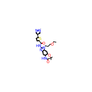 CCOCCCn1c(NC(=O)c2ccc(-c3cnn(C)c3)s2)nc2cc3c(cc21)OC(C)(C)C(=O)N3